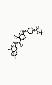 COc1nc(NC2CCN(C(=O)OC(C)(C)C)CC2)ncc1C(=O)Nc1cn2cc(C)nc2c(C)n1